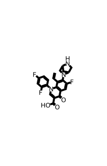 C=Cc1c(N2CC3CC2CN3)c(F)cc2c(=O)c(C(=O)O)cn(-c3ccc(F)cc3F)c12